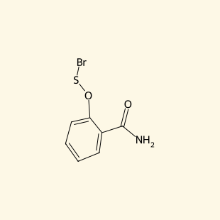 NC(=O)c1ccccc1OSBr